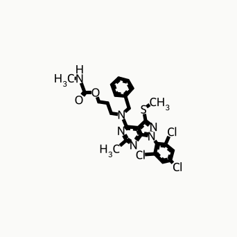 CNC(=O)OCCCN(Cc1ccccc1)c1nc(C)nc2c1c(SC)nn2-c1c(Cl)cc(Cl)cc1Cl